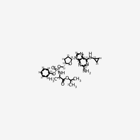 CC(C)OC(=O)[C@@H](C)N[P@@](=O)(OC[C@@H]1CC[C@H](n2cnc3c(NC4CC4)nc(N)nc32)O1)Oc1ccccc1